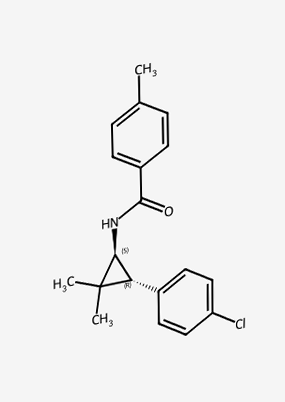 Cc1ccc(C(=O)N[C@H]2[C@H](c3ccc(Cl)cc3)C2(C)C)cc1